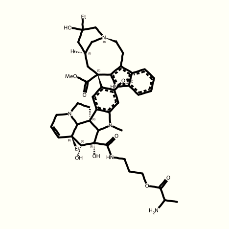 CCC1(O)C[C@H]2C[N@](CCc3c([nH]c4ccccc34)[C@@](C(=O)OC)(c3cc4c(cc3OC)N(C)C3[C@]45CCN4CC=C[C@](CC)(C45)[C@@H](O)[C@]3(O)C(=O)NCCCOC(=O)C(C)N)C2)C1